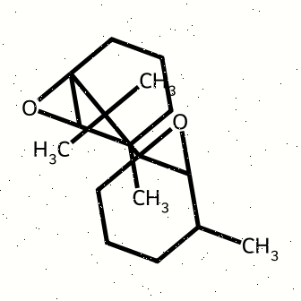 CC1CCCC2(C(C)(C)C34CCCC(C)C3O4)OC12